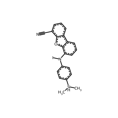 C[SiH](C)c1ccc(N(I)c2cccc3c2oc2c(C#N)cccc23)cc1